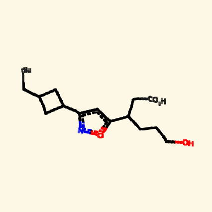 CC(C)(C)CC1CC(c2cc(C(CCCO)CC(=O)O)on2)C1